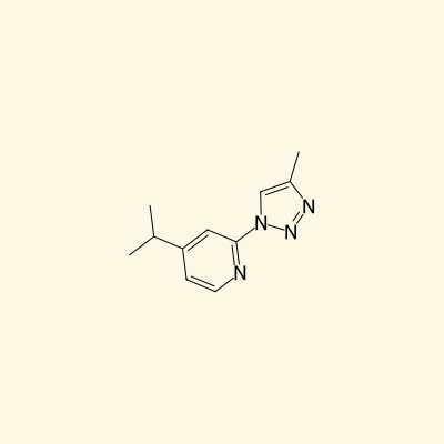 Cc1cn(-c2cc(C(C)C)ccn2)nn1